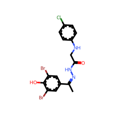 CC(=NNC(=O)CNc1ccc(Cl)cc1)c1cc(Br)c(O)c(Br)c1